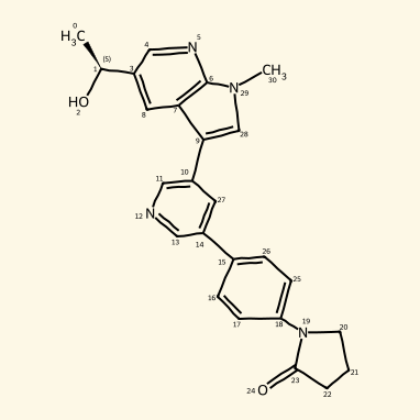 C[C@H](O)c1cnc2c(c1)c(-c1cncc(-c3ccc(N4CCCC4=O)cc3)c1)cn2C